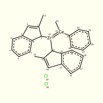 CC1=Cc2ccccc2[CH]1[Zr+2]([CH]1C(C)=Cc2ccccc21)=[Ge]([CH3])[c]1ccccc1.[Cl-].[Cl-]